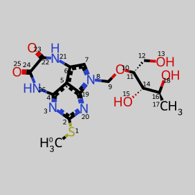 CSc1nc2c3c(cn(CO[C@H](CO)[C@@H](O)[C@H](C)O)c3n1)NC(=O)C(=O)N2